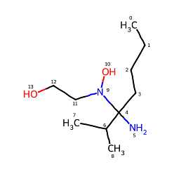 CCCCC(N)(C(C)C)N(O)CCO